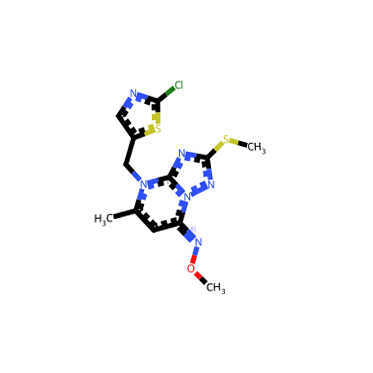 CO/N=c1\cc(C)n(Cc2cnc(Cl)s2)c2nc(SC)nn12